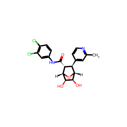 Cc1cc([C@H]2[C@H]3O[C@H]([C@H](O)[C@@H]3O)[C@@H]2C(=O)Nc2ccc(Cl)c(Cl)c2)ccn1